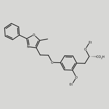 CCOc1cc(OCCc2nc(-c3ccccc3)oc2C)ccc1C[C@H](OCC)C(=O)O